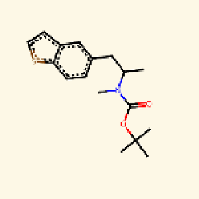 CC(Cc1ccc2sccc2c1)N(C)C(=O)OC(C)(C)C